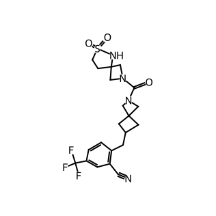 N#Cc1cc(C(F)(F)F)ccc1CC1CC2(C1)CN(C(=O)N1CC3(CCS(=O)(=O)N3)C1)C2